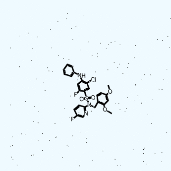 COc1ccc(CN(c2ccc(F)cn2)S(=O)(=O)c2cc(Cl)c(Nc3[c]cccc3)cc2F)c(OC)c1